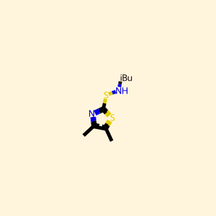 CCC(C)NSc1nc(C)c(C)s1